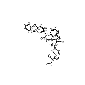 C=CC(=O)N[C@@H]1CC[C@H](NC(=O)c2sc3nccc4c3c2NC(=O)N4C(/C=C\C(=C)Oc2ccccc2)=C/CCl)C1